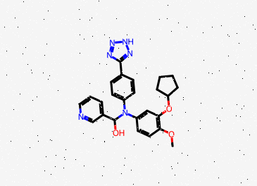 COc1ccc(N(c2ccc(-c3nn[nH]n3)cc2)C(O)c2cccnc2)cc1OC1CCCC1